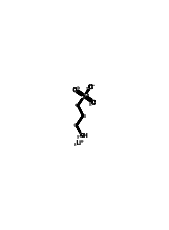 O=S(=O)([O-])CCCS.[Li+]